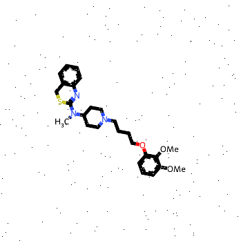 COc1cccc(OCCCCN2CCC(N(C)C3=Nc4ccccc4CS3)CC2)c1OC